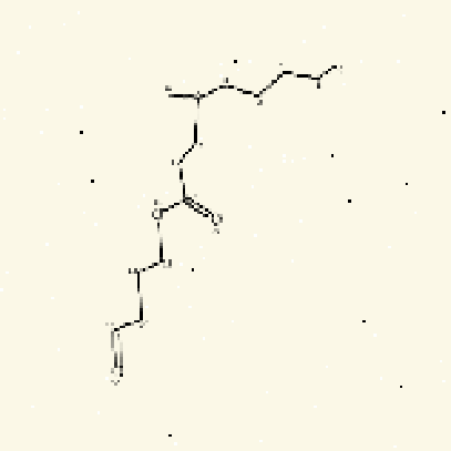 CCCCCC(C)CCC(=O)OCCCC=O